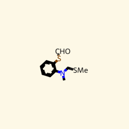 CSCN(C)c1ccccc1SC=O